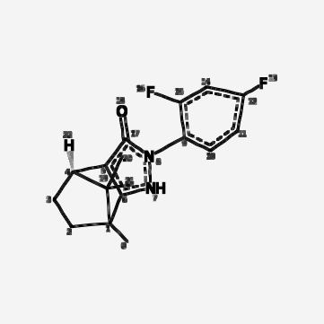 CC12CC[C@@H](c3c1[nH]n(-c1ccc(F)cc1F)c3=O)C2(C)C